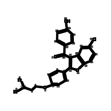 CCN(CC)CCOc1ccc(-c2oc3ccc(Cl)cc3c2C(=O)c2ccc(O)cc2)cc1